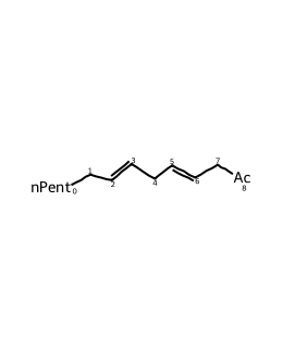 CCCCCCC=CCC=CCC(C)=O